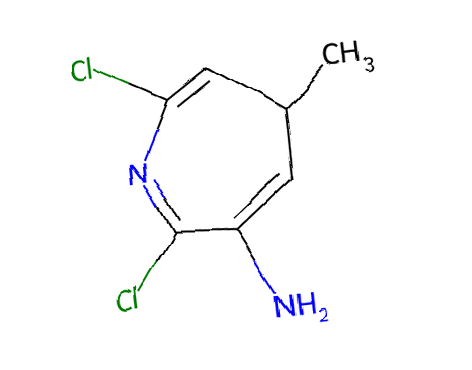 CC1C=C(Cl)N=C(Cl)C(N)=C1